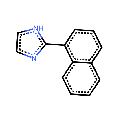 [c]1ccc(-c2ncc[nH]2)c2ccccc12